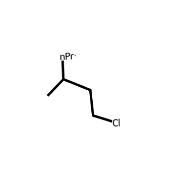 CC[CH]C(C)CCCl